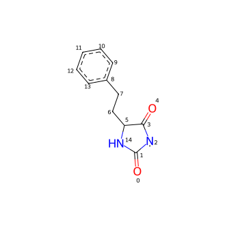 O=C1[N]C(=O)C(CCc2ccccc2)N1